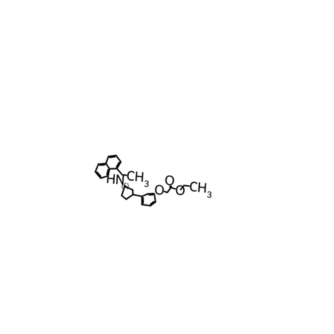 CCOC(=O)COc1cccc(C2CC[C@H](NC(C)c3cccc4ccccc34)C2)c1